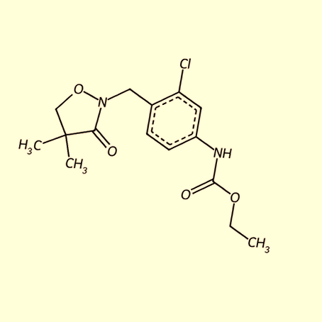 CCOC(=O)Nc1ccc(CN2OCC(C)(C)C2=O)c(Cl)c1